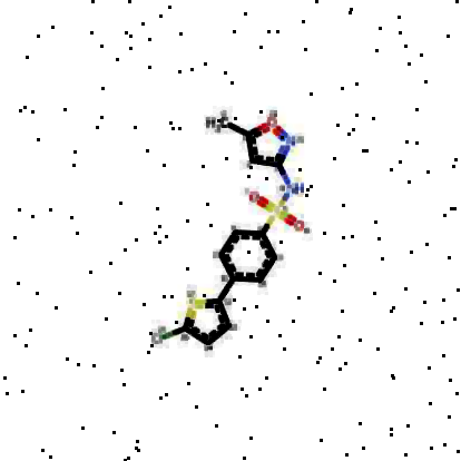 Cc1cc(NS(=O)(=O)c2ccc(-c3ccc(Cl)s3)cc2)no1